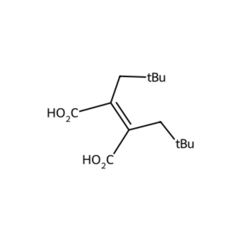 CC(C)(C)C/C(C(=O)O)=C(\CC(C)(C)C)C(=O)O